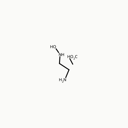 CC(=O)O.NCCNO